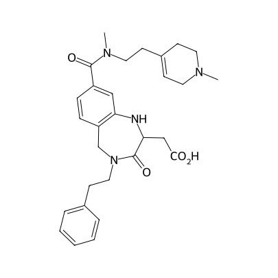 CN1CC=C(CCN(C)C(=O)c2ccc3c(c2)NC(CC(=O)O)C(=O)N(CCc2ccccc2)C3)CC1